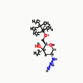 CC(C)(C)[Si](C)(C)OC[C@H]1OC[C@H](N=[N+]=[N-])C[C@@]1(C)O